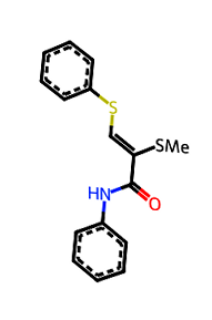 CS/C(=C\Sc1ccccc1)C(=O)Nc1ccccc1